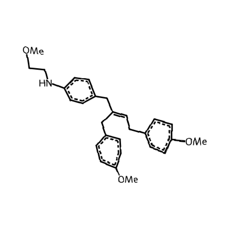 COCCNc1ccc(CC(=CCc2ccc(OC)cc2)Cc2ccc(OC)cc2)cc1